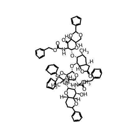 CC[C@H]1O[C@@H](O[C@@H]2[C@H]3OC(=O)C[C@@H]3C[C@H](C)[C@H]2O[C@H]2O[C@@H]3COC(c4ccccc4)O[C@H]3C(=O)C2NC(=O)OCc2ccccc2)[C@H](O[Si](c2ccccc2)(c2ccccc2)C(C)(C)C)[C@@H]1O[C@H]1O[C@H]2CCC(c3ccccc3)O[C@H]2[C@H](O)[C@H]1NC(=O)OCc1ccccc1